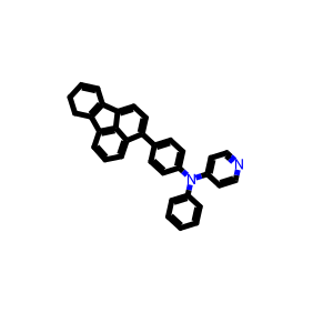 C1=CC2=C(CC1)c1cccc3c(-c4ccc(N(c5ccccc5)c5ccncc5)cc4)ccc2c13